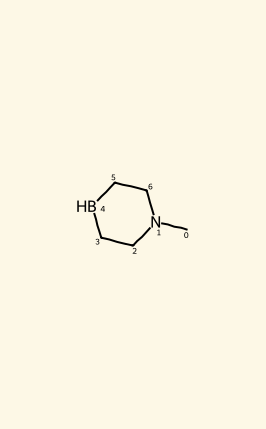 CN1CCBCC1